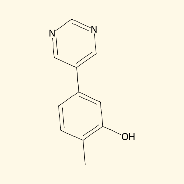 Cc1ccc(-c2cncnc2)cc1O